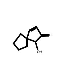 O=C1C=CC2(CCCC2)C1O